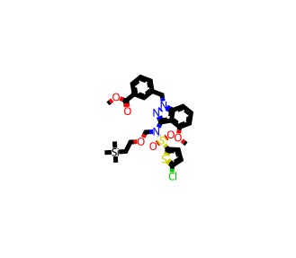 COC(=O)c1cccc(Cn2nc(N(COCC[Si](C)(C)C)S(=O)(=O)c3ccc(Cl)s3)c3c(OC)cccc32)c1